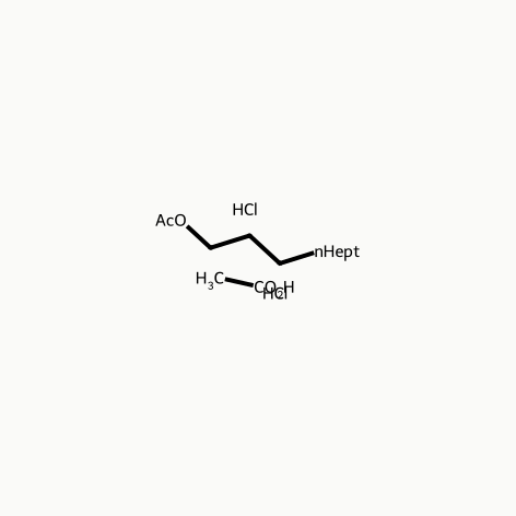 CC(=O)O.CCCCCCCCCCOC(C)=O.Cl.Cl